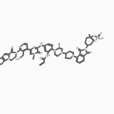 C=CC(=O)Nc1cc(Nc2nc(-c3ccnc(N4CCn5c(cc6c5CC(C)(C)C6)C4=O)c3CO)cn(C)c2=O)ccc1N1CCN(C2CCN(c3cccc4c3C(=O)N(C3CCC(C)(OP(=O)(O)O)CC3)C4=O)CC2)C[C@@H]1C